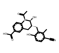 CC(=O)N1c2ccc(C(=O)O)cc2C[C@@H](Cc2c(O)ccc(C#N)c2C)[C@@H]1O